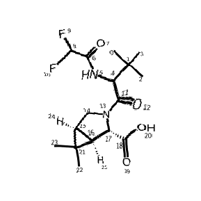 CC(C)(C)C(NC(=O)C(F)F)C(=O)N1C[C@H]2[C@@H]([C@H]1C(=O)O)C2(C)C